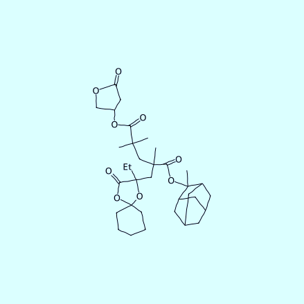 CCC1(CC(C)(CC(C)(C)C(=O)OC2COC(=O)C2)C(=O)OC2(C)C3CC4CC(C3)CC2C4)OC2(CCCCC2)OC1=O